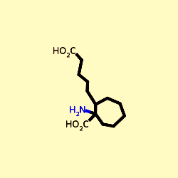 NC1(C(=O)O)CCCCCC1CCCCC(=O)O